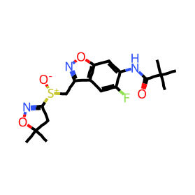 CC1(C)CC([S+]([O-])Cc2noc3cc(NC(=O)C(C)(C)C)c(F)cc23)=NO1